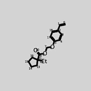 C=Cc1ccc(OCOC(=O)C2(CC)CCCC2)cc1